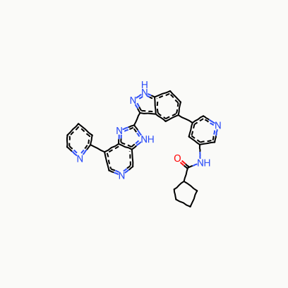 O=C(Nc1cncc(-c2ccc3[nH]nc(-c4nc5c(-c6ccccn6)cncc5[nH]4)c3c2)c1)C1CCCC1